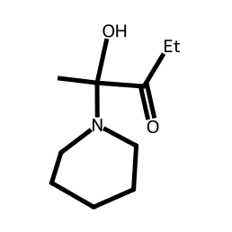 CCC(=O)C(C)(O)N1CCCCC1